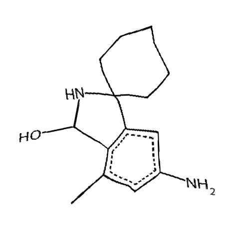 Cc1cc(N)cc2c1C(O)NC21CCCCC1